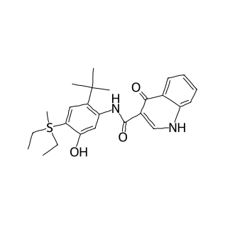 CCS(C)(CC)c1cc(C(C)(C)C)c(NC(=O)c2c[nH]c3ccccc3c2=O)cc1O